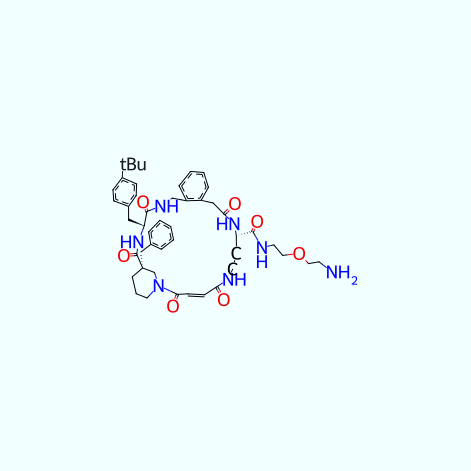 CC(C)(C)c1ccc(C[C@@H]2NC(=O)[C@]3(Cc4ccccc4)CCCN(C3)C(=O)/C=C/C(=O)NCC[C@@H](C(=O)NCCOCCN)NC(=O)Cc3ccccc3CNC2=O)cc1